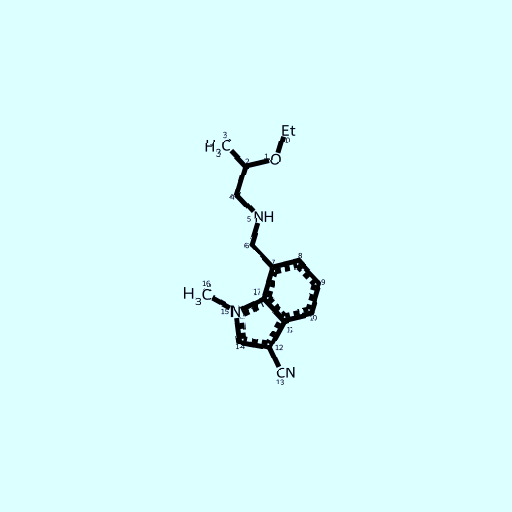 CCOC(C)CNCc1cccc2c(C#N)cn(C)c12